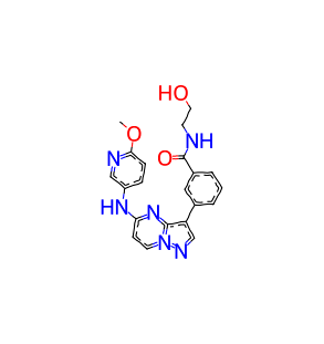 COc1ccc(Nc2ccn3ncc(-c4cccc(C(=O)NCCO)c4)c3n2)cn1